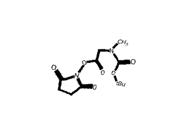 CN(CC(=O)ON1C(=O)CCC1=O)C(=O)OC(C)(C)C